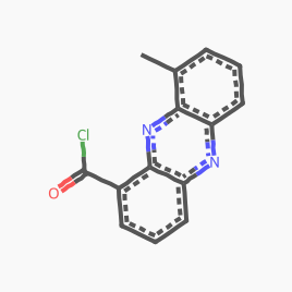 Cc1cccc2nc3cccc(C(=O)Cl)c3nc12